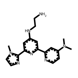 CN(C)c1ccnc(-c2cc(NCCN)cc(-c3nccn3C)n2)c1